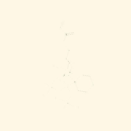 C=CC(=O)OCCC[SiH2]C1([Si](O[Si](C)(C)C)(O[Si](C)(C)C)O[Si](C)(C)C)CCCCO1